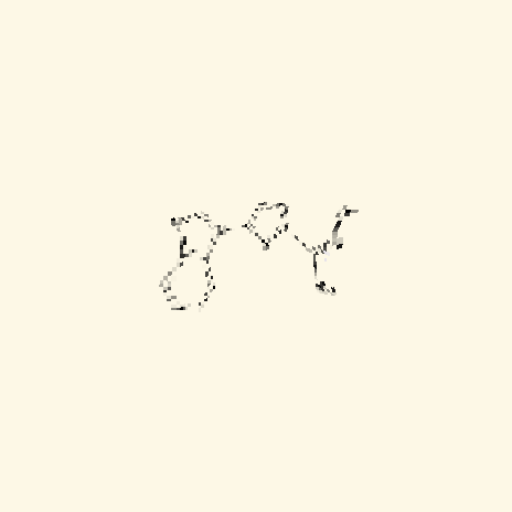 CCCC/C(=N/O)c1ccc(-n2cnc3ccccc32)s1